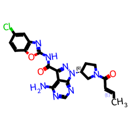 C/C=C/C(=O)N1CC[C@@H](n2nc(C(=O)Nc3nc4cc(Cl)ccc4o3)c3c(N)ncnc32)C1